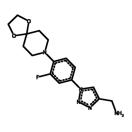 NCc1cn(-c2ccc(N3CCC4(CC3)OCCO4)c(F)c2)nn1